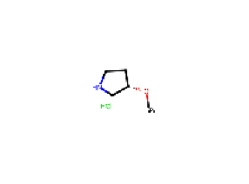 CC(C)O[C@H]1CCNC1.Cl